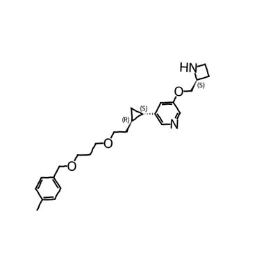 Cc1ccc(COCCCOCC[C@H]2C[C@@H]2c2cncc(OC[C@@H]3CCN3)c2)cc1